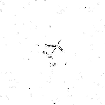 N.N.O=S(=O)([O-])[O-].[Co+2]